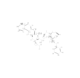 C#CCN(CC(=O)NCC(=O)N(Cc1cccc2ncccc12)CC(OCC)OCC)NC(=O)NCc1ccccc1